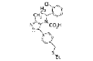 CCSCc1ccc(-c2onc(C)c2N(C(=O)O)C(C)c2ccccc2Cl)cc1